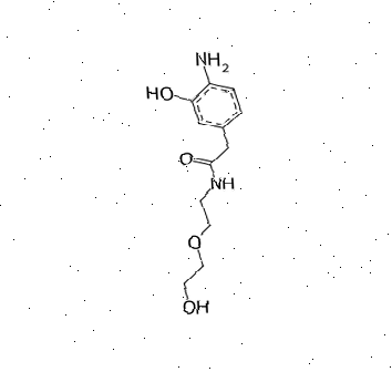 Nc1ccc(CC(=O)NCCOCCO)cc1O